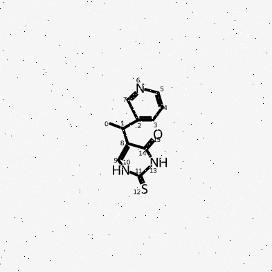 CC(c1cccnc1)c1c[nH]c(=S)[nH]c1=O